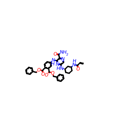 C=CC(=O)NC1CCC[C@@H](Nc2cnc(C(N)=O)c(Nc3ccc(C(=O)OCc4ccccc4)c(C(=O)OCc4ccccc4)c3)n2)C1